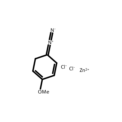 COC1=CCC(=[N+]=[N-])C=C1.[Cl-].[Cl-].[Zn+2]